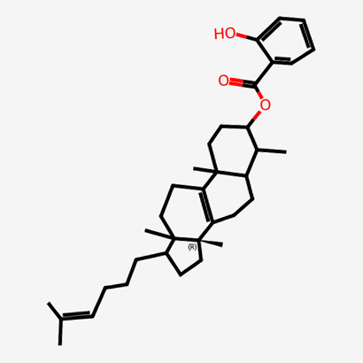 CC(C)=CCCCC1CC[C@@]2(C)C3=C(CCC12C)C1(C)CCC(OC(=O)c2ccccc2O)C(C)C1CC3